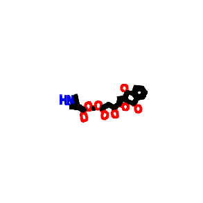 O=C(CC(=O)c1cc2c(o1)C(=O)c1ccccc1C2=O)OCOC(=O)C1CNC1